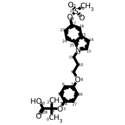 CC(C)(Oc1ccc(OCCCn2ccc3cc(OS(C)(=O)=O)ccc32)cc1)C(=O)O